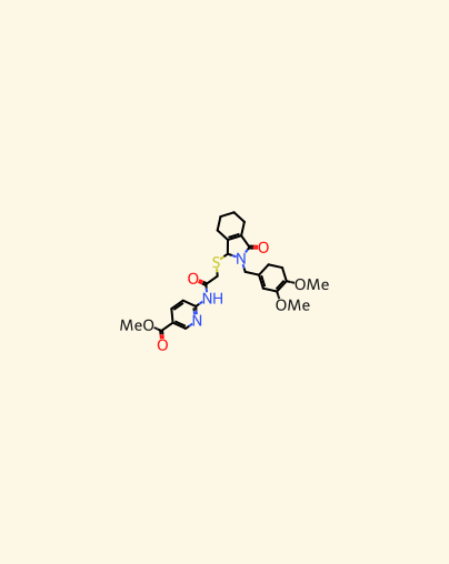 COC(=O)c1ccc(NC(=O)CSC2C3=C(CCCC3)C(=O)N2CC2=CC(OC)=C(OC)CC2)nc1